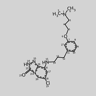 CN(C)CCCOc1cccc(CCCNc2cc(Cl)cn3c(=O)[nH]nc23)c1